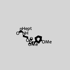 CCCCCCCC(=O)NCCOP(=O)(OC)Oc1cccc(OC)c1